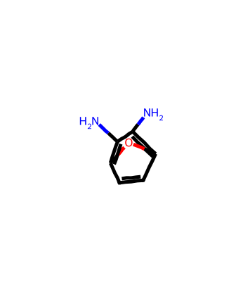 Nc1c(N)c2ccc1o2